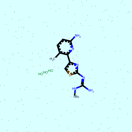 CCCCNC(N)=Nc1nc(-c2nc(N)ccc2C)cs1.Cl.Cl.Cl